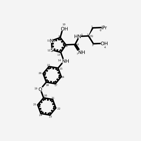 CC(C)C[C@@H](CO)NC(=N)c1c(O)nsc1Nc1ccc(Oc2ccccc2)cc1